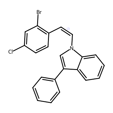 Clc1ccc(/C=C\n2cc(-c3ccccc3)c3ccccc32)c(Br)c1